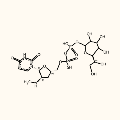 CN[C@@H]1C[C@@H](COP(=O)(S)OP(=O)(O)OC2OC([C@@H](O)CO)C(O)C(O)C2O)O[C@H]1n1ccc(=O)[nH]c1=O